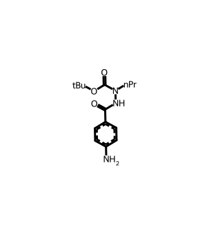 CCCN(NC(=O)c1ccc(N)cc1)C(=O)OC(C)(C)C